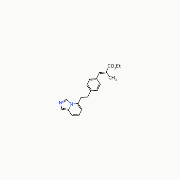 CCOC(=O)/C(C)=C/c1ccc(CCc2cccc3cncn23)cc1